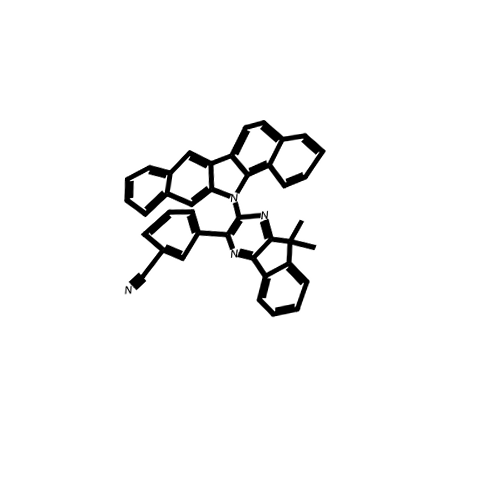 CC1(C)c2ccccc2-c2nc(-c3cccc(C#N)c3)c(-n3c4cc5ccccc5cc4c4ccc5ccccc5c43)nc21